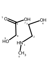 CNCCO.O=C(O)CO